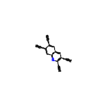 C#Cc1cc2cc(C#C)c(C#C)nc2cc1C#C